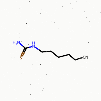 N#CCCCCCNC(N)=S